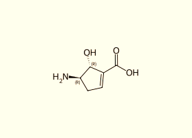 N[C@@H]1CC=C(C(=O)O)[C@H]1O